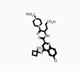 CCOC(=O)N1CCN(C(=O)C(CCC(=O)O)NC(=O)c2cc(OC3(C(=O)O)CCC3)c3cc(Cl)ccc3n2)CC1